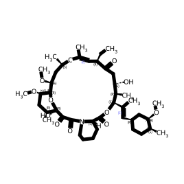 CC[C@@H]1/C=C(\C)C[C@H](C)C[C@H](OC)[C@H]2O[C@@](O)(C(=O)C(=O)N3CCCC[C@H]3C(=O)O[C@H](/C(C)=C/[C@@H]3CC[C@H](C)[C@H](OC)C3)[C@H](C)[C@@H](O)CC1=O)[C@H](C)C[C@@H]2OC